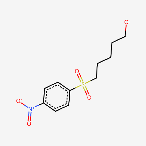 [O]CCCCCS(=O)(=O)c1ccc([N+](=O)[O-])cc1